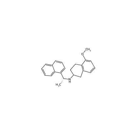 COc1cccc2c1CCC(N[C@H](C)c1cccc3ccccc13)C2